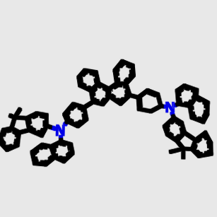 CC1(C)c2ccccc2-c2cc(N(c3ccc(-c4cc5cc(C6=CCC(N(c7ccc8c(c7)-c7ccccc7C8(C)C)c7cccc8ccccc78)C=C6)c6ccccc6c5c5ccccc45)cc3)c3cccc4ccccc34)ccc21